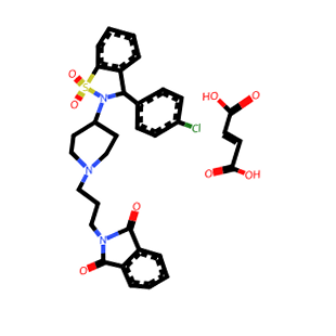 O=C(O)C=CC(=O)O.O=C1c2ccccc2C(=O)N1CCCN1CCC(N2C(c3ccc(Cl)cc3)c3ccccc3S2(=O)=O)CC1